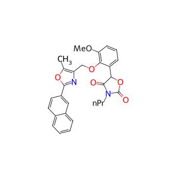 CCCN1C(=O)OC(c2cccc(OC)c2OCc2nc(-c3ccc4ccccc4c3)oc2C)C1=O